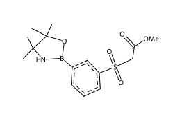 COC(=O)CS(=O)(=O)c1cccc(B2NC(C)(C)C(C)(C)O2)c1